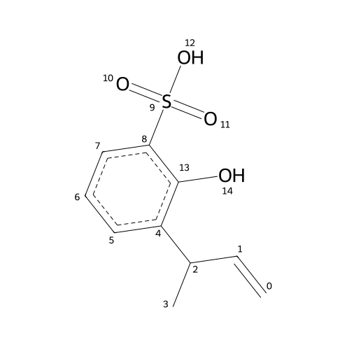 C=CC(C)c1cccc(S(=O)(=O)O)c1O